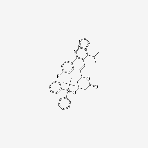 CC(C)c1c(/C=C/C2CC(O[Si](c3ccccc3)(c3ccccc3)C(C)(C)C)CC(=O)O2)c(-c2ccc(F)cc2)nn2cccc12